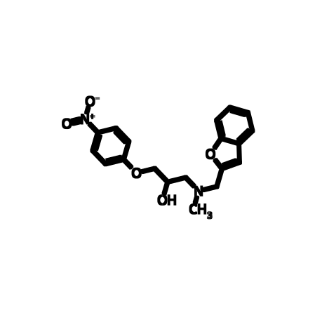 CN(Cc1cc2ccccc2o1)CC(O)COc1ccc([N+](=O)[O-])cc1